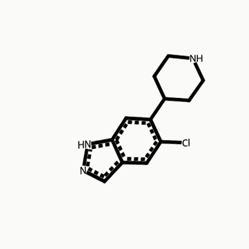 Clc1cc2cn[nH]c2cc1C1CCNCC1